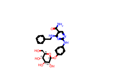 NC(=O)c1cnc(Nc2ccc(O[C@@H]3O[C@H](CO)[C@@H](O)[C@H](O)[C@H]3O)cc2)nc1NCc1ccccc1